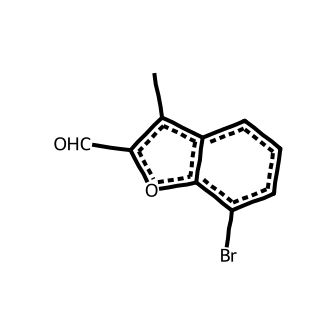 Cc1c(C=O)oc2c(Br)cccc12